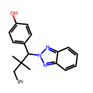 CC(C)CC(C)(C)C(c1ccc(O)cc1)n1nc2ccccc2n1